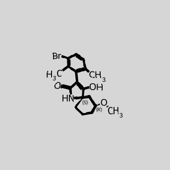 CO[C@@H]1CCC[C@@]2(C1)NC(=O)C(c1c(C)ccc(Br)c1C)=C2O